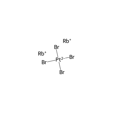 [Br][Pt-2]([Br])([Br])[Br].[Rb+].[Rb+]